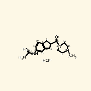 CN1CCN(C(=O)C2Cc3ccc(NC(=N)N)cc3C2)CC1.Cl